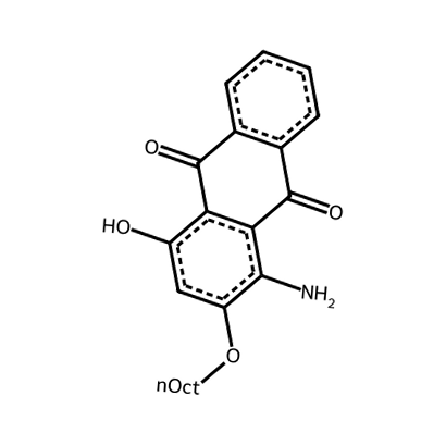 CCCCCCCCOc1cc(O)c2c(c1N)C(=O)c1ccccc1C2=O